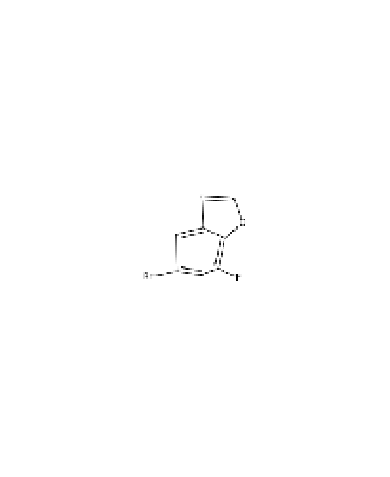 Fc1cc(Br)cc2ccoc12